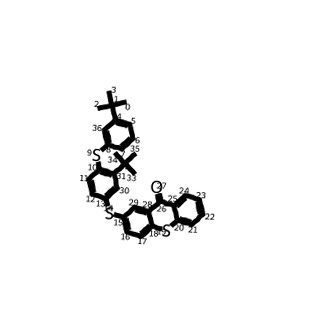 CC(C)(C)c1cccc(Sc2ccc(Sc3ccc4sc5ccccc5c(=O)c4c3)cc2C(C)(C)C)c1